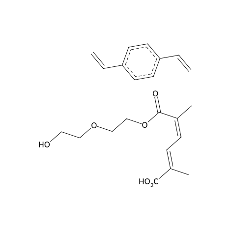 C=Cc1ccc(C=C)cc1.CC(=CC=C(C)C(=O)OCCOCCO)C(=O)O